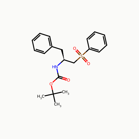 CC(C)(C)OC(=O)N[C@@H](Cc1ccccc1)CS(=O)(=O)c1ccccc1